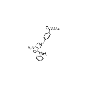 CNC(=O)c1ccc(CN2CCC(N)=C(C(=O)Nc3ccccc3)C2)cc1